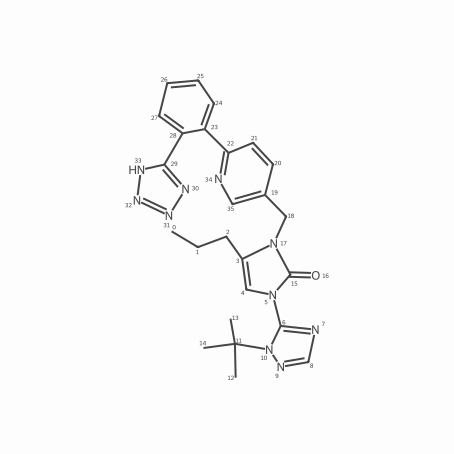 CCCc1cn(-c2ncnn2C(C)(C)C)c(=O)n1Cc1ccc(-c2ccccc2-c2nnn[nH]2)nc1